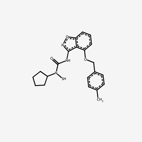 Cc1ccc(COc2cccc3onc(NC(=O)N(S)C4CCCC4)c23)cc1